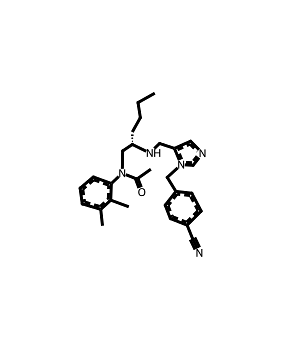 CCCC[C@@H](CN(C(C)=O)c1cccc(C)c1C)NCc1cncn1Cc1ccc(C#N)cc1